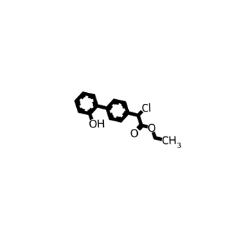 CCOC(=O)C(Cl)c1ccc(-c2ccccc2O)cc1